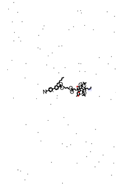 C/C=C\CC(C)(C)C(C(=O)OC(C)C)C(C(=O)OC(C)C)C(CC)(CCCC)C(C)(CCCC)CCC(=O)OCCCCOC(=O)c1ccc(-c2ccc(C#N)cc2)cc1CCCCCC